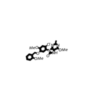 COc1ccccc1COc1cc(-n2c(=O)[nH]c3c(OC)nc(C)nc32)c(Cl)cc1OC